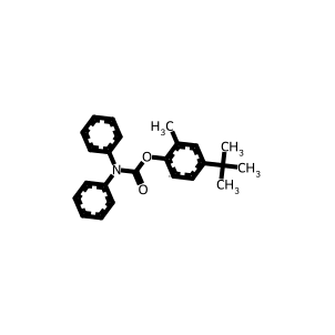 Cc1cc(C(C)(C)C)c[c]c1OC(=O)N(c1ccccc1)c1ccccc1